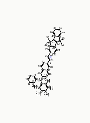 [2H]c1c([2H])c([2H])c(N(c2ccccc2)c2ccc3cc(/C=C/c4ccc5c(c4)C(C)(C)C4=C5C(C)(C)c5ccccc54)ccc3c2)c([2H])c1[2H]